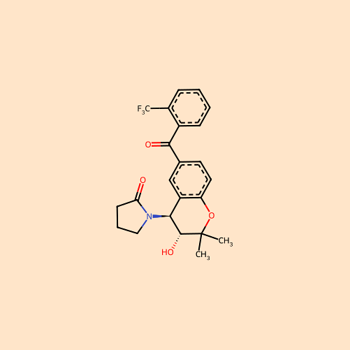 CC1(C)Oc2ccc(C(=O)c3ccccc3C(F)(F)F)cc2[C@H](N2CCCC2=O)[C@H]1O